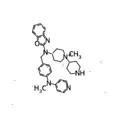 CN(c1ccncc1)c1ccc(CN(c2nc3ccccc3o2)C2CC[N+](C)(C3CCNCC3)CC2)cc1